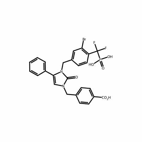 O=C(O)c1ccc(Cn2cc(-c3ccccc3)n(Cc3ccc(C(F)(F)P(=O)(O)O)c(Br)c3)c2=O)cc1